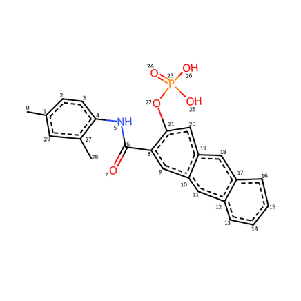 Cc1ccc(NC(=O)c2cc3cc4ccccc4cc3cc2OP(=O)(O)O)c(C)c1